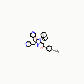 O=C(C=C1NC(Cc2ccncc2)(Cc2ccncc2)C(=O)N1C12CC3CC(CC(C3)C1)C2)c1ccc([N+](=O)[O-])cc1